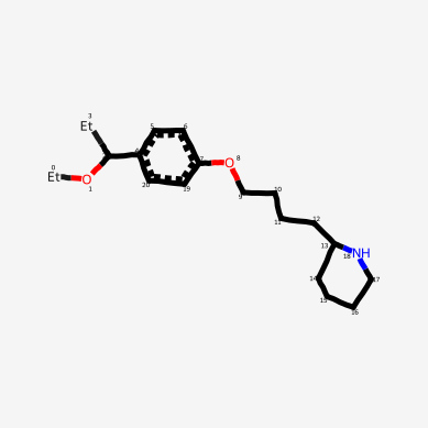 CCOC(CC)c1ccc(OCCCCC2CCCCN2)cc1